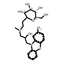 CN(CCC1O[C@H](CO)[C@@H](O)[C@H](O)[C@H]1O)CC(O)CN1c2ccccc2Sc2ccc(C(F)(F)F)cc21